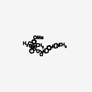 COc1cc(C)c(S(=O)(=O)N2CCCCC2COCC(=O)N2CCc3cc(N4CCN(C)CC4)ccc3C2)c(C)c1